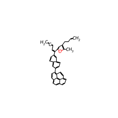 C=C=C/C=C(/c1ccc2cc(-c3ccc4ccc5cccc6ccc3c4c56)ccc2c1)c1cc(CCC=C)c(C)o1